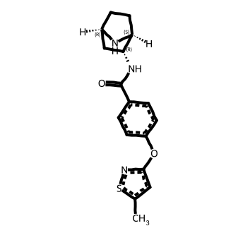 Cc1cc(Oc2ccc(C(=O)N[C@@H]3C[C@H]4CC[C@@H]3N4)cc2)ns1